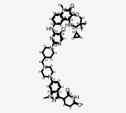 Cn1nc(C2CCC(=O)NC2=O)c2ccc(N3CCN(CC4CCN(c5ncc(Cl)c(Nc6ccc7c(c6)c6c(c(=O)n7C)OCC(F)(F)[C@H](C7CC7)N6)n5)CC4)CC3)cc21